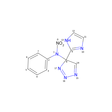 O=[N+]([O-])N(c1ccccc1)C1(c2ncc[nH]2)C=NN=N1